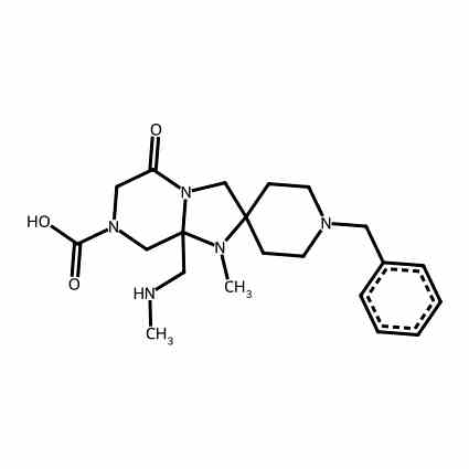 CNCC12CN(C(=O)O)CC(=O)N1CC1(CCN(Cc3ccccc3)CC1)N2C